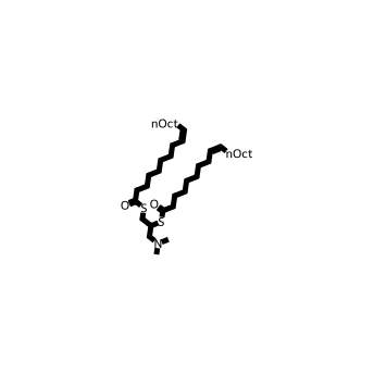 CCCCCCCC/C=C\CCCCCCCC(=O)SCC(CN(C)C)SC(=O)CCCCCCC/C=C\CCCCCCCC